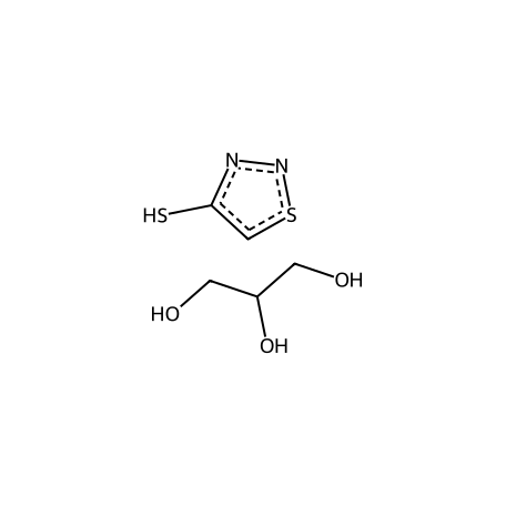 OCC(O)CO.Sc1csnn1